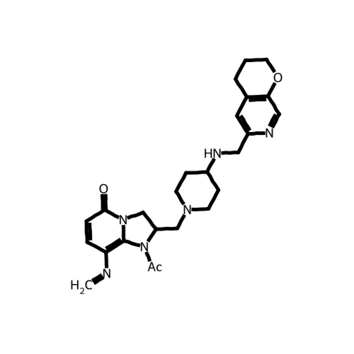 C=Nc1ccc(=O)n2c1N(C(C)=O)C(CN1CCC(NCc3cc4c(cn3)OCCC4)CC1)C2